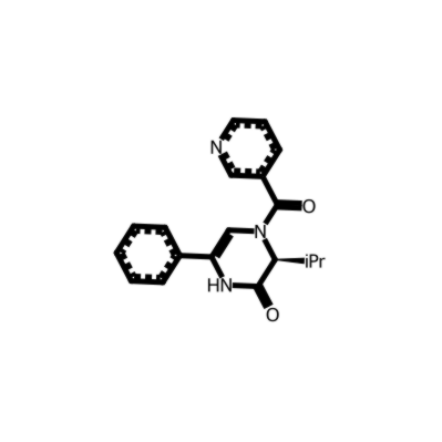 CC(C)[C@H]1C(=O)NC(c2ccccc2)=CN1C(=O)c1cccnc1